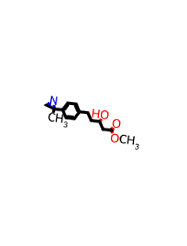 COC(=O)CC(O)CCc1ccc(C2(C)C=N2)cc1